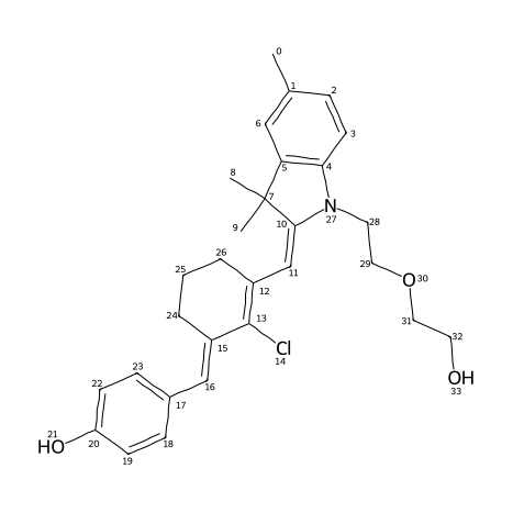 Cc1ccc2c(c1)C(C)(C)/C(=C\C1=C(Cl)C(=C/c3ccc(O)cc3)/CCC1)N2CCOCCO